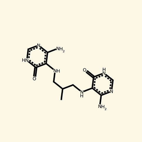 CC(CNc1c(N)nc[nH]c1=O)CNc1c(N)nc[nH]c1=O